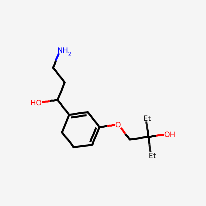 CCC(O)(CC)COC1=CCCC(C(O)CCN)=C1